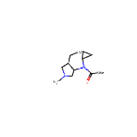 CNCC1CN(C)CC1N(C(=O)SC)C1CC1